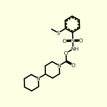 CSc1ccccc1S(=O)(=O)NOC(=O)N1CCC(N2CCCCC2)CC1